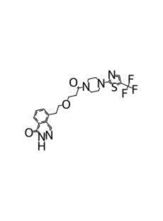 O=C(CCOCCc1cccc2c(=O)[nH]ncc12)N1CCN(c2ncc(C(F)(F)F)s2)CC1